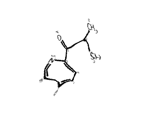 CC(S)C(=O)c1ccccn1